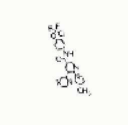 C[C@@H]1CCN(c2ncc(C(=O)Nc3ccc(OC(F)(F)Cl)cc3)cc2-c2cnccn2)C1